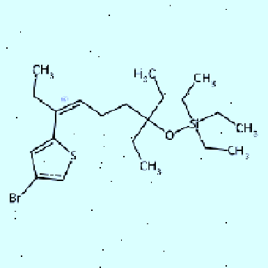 CC/C(=C/CCC(CC)(CC)O[Si](CC)(CC)CC)c1cc(Br)cs1